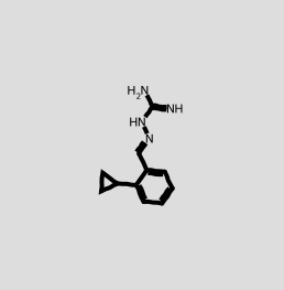 N=C(N)NN=Cc1ccccc1C1CC1